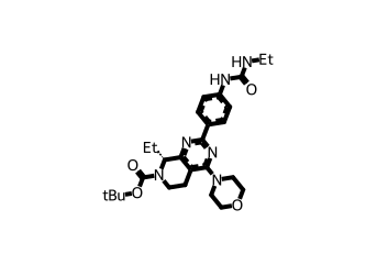 CCNC(=O)Nc1ccc(-c2nc3c(c(N4CCOCC4)n2)CCN(C(=O)OC(C)(C)C)[C@@H]3CC)cc1